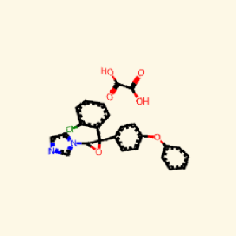 Clc1ccccc1C1(c2ccc(Oc3ccccc3)cc2)OC1n1ccnc1.O=C(O)C(=O)O